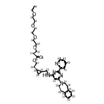 CCOCCOCCOCCOCCC(=O)OCCC1CC1CNc1cc(N2CCc3ccccc3CC2)nc(-c2ccccn2)n1